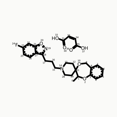 CC1Oc2ccccc2COC12CCN(CCCc1noc3cc(F)ccc13)CC2.O=C(O)/C=C\C(=O)O